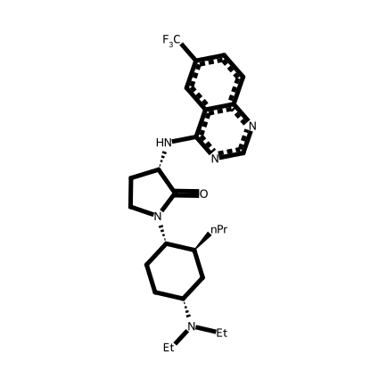 CCC[C@H]1C[C@H](N(CC)CC)CC[C@@H]1N1CC[C@H](Nc2ncnc3ccc(C(F)(F)F)cc23)C1=O